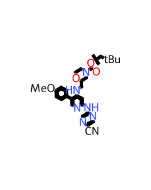 COc1ccc(-c2cnc(Nc3cnc(C#N)cn3)cc2NCC2CN(C(=O)OC(C)(C)CC(C)(C)C)CCO2)cc1